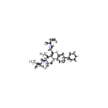 C=C(C1=C(/N=C/C(N)=O)CN(CC(O)c2ccccc2)CC1)/C(=C/C=C(\C)F)C(C)F